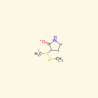 CSSC.O=C1CCCN1